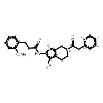 COc1ccccc1CCC(=O)Nc1sc2c(c1C#N)CCN(C(=O)Cc1ccccn1)C2